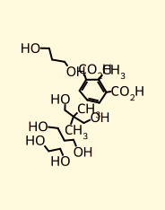 CC(C)(CO)CO.Cc1c(C(=O)O)cccc1C(=O)O.OCCCO.OCCCO.OCCO